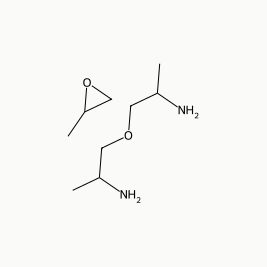 CC(N)COCC(C)N.CC1CO1